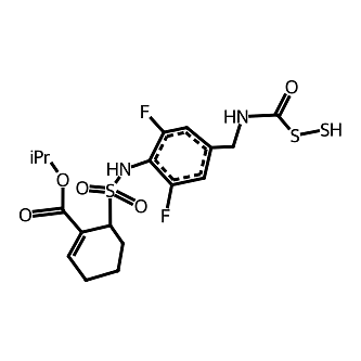 CC(C)OC(=O)C1=CCCCC1S(=O)(=O)Nc1c(F)cc(CNC(=O)SS)cc1F